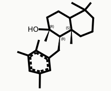 Cc1cc(C)c(C)c(C[C@@H]2[C@@]3(C)CCCC(C)(C)C3CC[C@@]2(C)O)c1